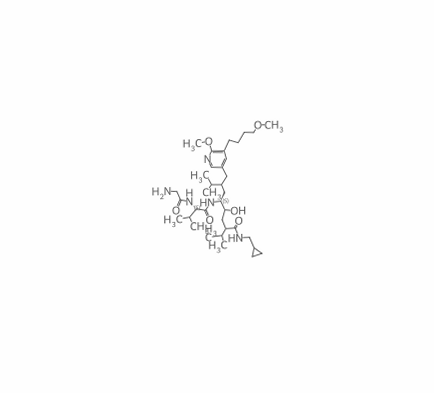 COCCCCc1cc(CC(C[C@H](NC(=O)[C@@H](NC(=O)CN)C(C)C)C(O)CC(C(=O)NCC2CC2)C(C)C)C(C)C)cnc1OC